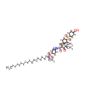 CCCCCCCCCCCCCCCCCCN(C)S(=O)(=O)c1ccc(NC(=O)C(Oc2ccc(S(=O)(=O)c3ccc(O)cc3)cc2)C(=O)C(C)(C)C)cc1